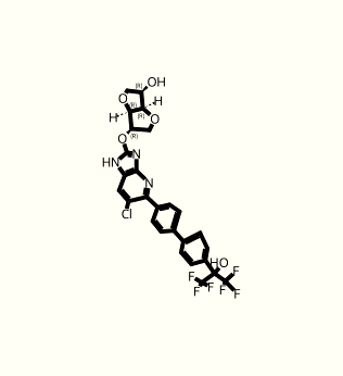 O[C@@H]1CO[C@H]2[C@@H]1OC[C@H]2Oc1nc2nc(-c3ccc(-c4ccc(C(O)(C(F)(F)F)C(F)(F)F)cc4)cc3)c(Cl)cc2[nH]1